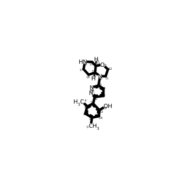 Cc1cc(C)c(-c2ccc(N3CCO[C@H]4CNCC[C@H]43)nn2)c(O)c1